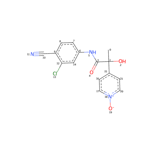 CC(O)(C(=O)Nc1ccc(C#N)c(Cl)c1)c1cc[n+]([O-])cc1